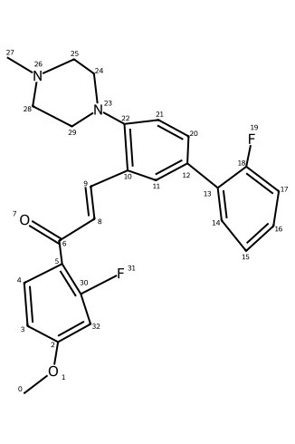 COc1ccc(C(=O)C=Cc2cc(-c3ccccc3F)ccc2N2CCN(C)CC2)c(F)c1